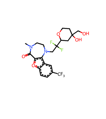 CN1CCN(CC(F)(F)C2CC(O)(CO)CCO2)c2c(oc3ccc(C(F)(F)F)cc23)C1=O